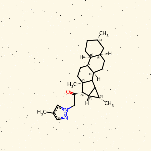 Cc1cnn(CC(=O)[C@H]2[C@@H]3C(C4[C@@H]5CC[C@@H]6C[C@@H](C)CC[C@@H]6C5CC[C@@]42C)[C@@H]3C)c1